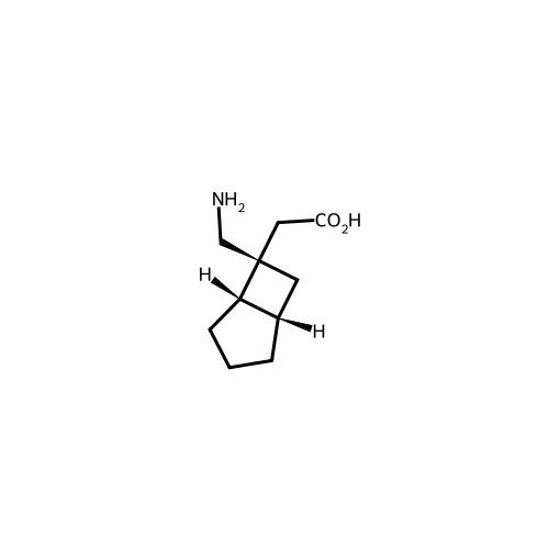 NC[C@@]1(CC(=O)O)C[C@@H]2CCC[C@@H]21